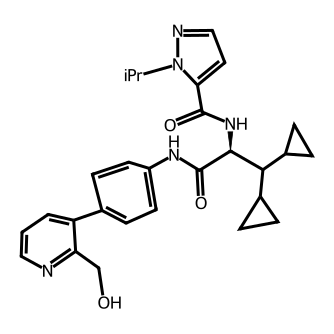 CC(C)n1nccc1C(=O)N[C@H](C(=O)Nc1ccc(-c2cccnc2CO)cc1)C(C1CC1)C1CC1